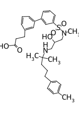 Cc1ccc(CCCC(C)(C)NCC(O)CN(C)S(=O)(=O)c2cccc(-c3cccc(CCC(=O)O)c3)c2)cc1